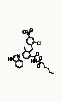 CCCCCS(=O)(=O)NC(=O)c1cccc(C)c1Cc1ccc([N+](=O)[O-])cc1Cl.c1ccc2[nH]cnc2c1